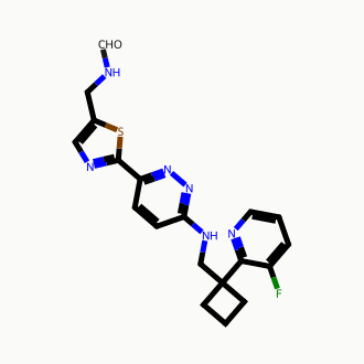 O=CNCc1cnc(-c2ccc(NCC3(c4ncccc4F)CCC3)nn2)s1